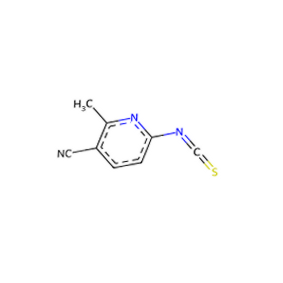 Cc1nc(N=C=S)ccc1C#N